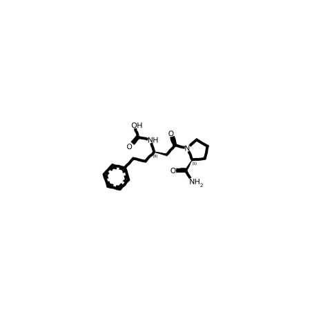 NC(=O)[C@@H]1CCCN1C(=O)C[C@@H](CCc1ccccc1)NC(=O)O